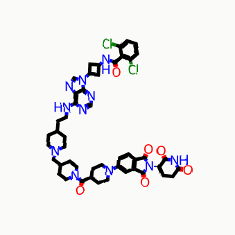 O=C1CC[C@H](N2C(=O)c3ccc(N4CCC(C(=O)N5CCC(CN6CCC(CCNc7ncnc8c7ncn8C7CC(NC(=O)c8c(Cl)cccc8Cl)C7)CC6)CC5)CC4)cc3C2=O)C(=O)N1